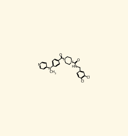 CN(c1ccncc1)c1ccc(C(=O)N2CCN(C(=O)NCc3ccc(Cl)c(Cl)c3)CC2)cc1